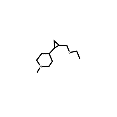 CCOCC1CC1C1CCN(C)CC1